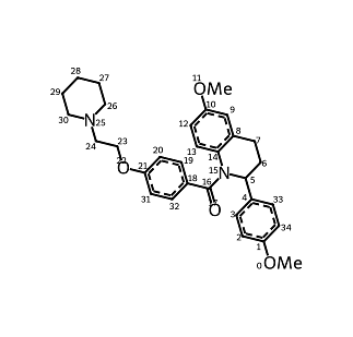 COc1ccc(C2CCc3cc(OC)ccc3N2C(=O)c2ccc(OCCN3CCCCC3)cc2)cc1